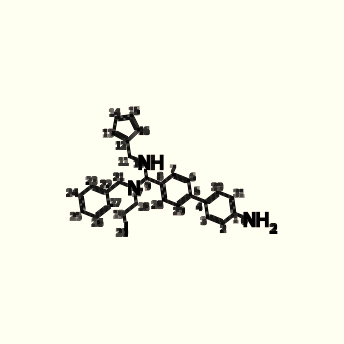 Nc1ccc(-c2ccc(C(NCC3=CC=C=C3)N(CCI)Cc3ccccc3)cc2)cc1